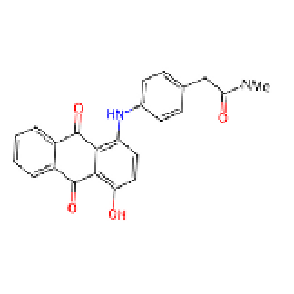 CNC(=O)Cc1ccc(Nc2ccc(O)c3c2C(=O)c2ccccc2C3=O)cc1